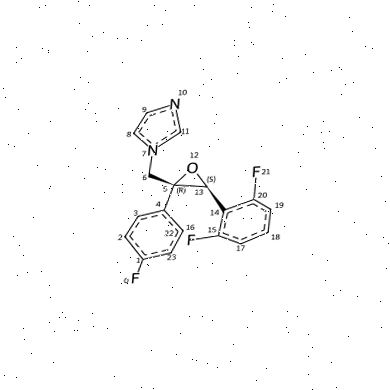 Fc1ccc([C@]2(Cn3ccnc3)O[C@H]2c2c(F)cccc2F)cc1